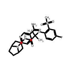 CC(C)(Oc1ccc(F)cc1S(C)(=O)=O)C(=O)NC1CC2CCC(C1)N2c1ccc(C(N)=O)cn1